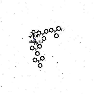 CCC[CH2][Sn](/[CH]=C/C(O)(C1CCCC1)C1(C#N)CC1)([CH2]CCC)[CH2]CCC.[Pd].c1ccc(P(c2ccccc2)c2ccccc2)cc1.c1ccc(P(c2ccccc2)c2ccccc2)cc1.c1ccc(P(c2ccccc2)c2ccccc2)cc1.c1ccc(P(c2ccccc2)c2ccccc2)cc1